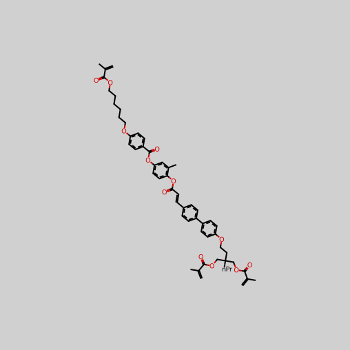 C=C(C)C(=O)OCCCCCCOc1ccc(C(=O)Oc2ccc(OC(=O)/C=C/c3ccc(-c4ccc(OCCC(CCC)(COC(=O)C(=C)C)COC(=O)C(=C)C)cc4)cc3)c(C)c2)cc1